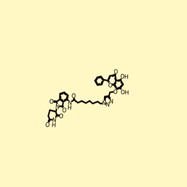 O=C1CCC(N2C(=O)c3cccc(NC(=O)CCCCCCCn4cc(COc5c(O)cc(O)c6c(=O)cc(-c7ccccc7)oc56)nn4)c3C2=O)C(=O)N1